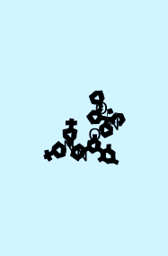 C=C[C@@](c1cccc(Oc2cc(-c3cc(N(c4ccc(C(C)(C)C)cc4)c4ccc(C(C)(C)C)cc4)ccn3)cc(-c3c(C)cc(C)cc3C)c2)c1)(c1ccccn1)c1ccccc1Oc1ccccc1